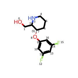 OCC1NCCC[C@@H]1Oc1cc(F)cc(F)c1